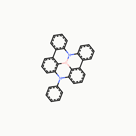 c1ccc(N2c3cccc4c3B3c5c(cccc52)-c2ccccc2N3c2ccccc2-4)cc1